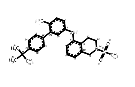 Cc1ccc(Nc2cccc3c2CCN(S(C)(=O)=O)C3)cc1-c1ccc(C(C)(C)C)cc1